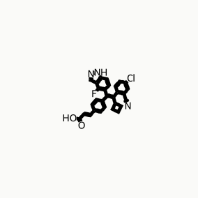 N#Cc1cc(Cl)ccc1C(=C(c1ccc(C=CC(=O)O)cc1)c1ccc2[nH]ncc2c1F)C1CCC1